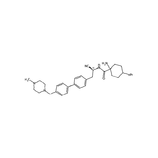 CCCC1CCC(N)(C(=O)N[C@H](C#N)Cc2ccc(-c3ccc(CN4CCN(C)CC4)cc3)cc2)CC1